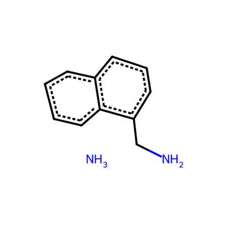 N.NCc1cccc2ccccc12